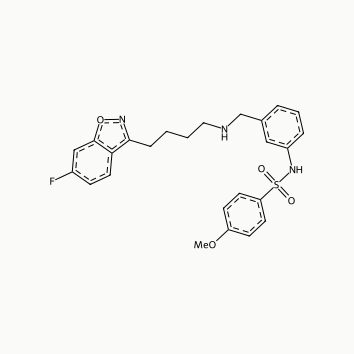 COc1ccc(S(=O)(=O)Nc2cccc(CNCCCCc3noc4cc(F)ccc34)c2)cc1